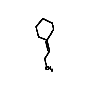 CCC=C1CCCCC1